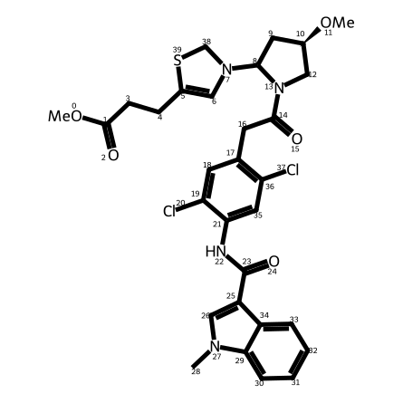 COC(=O)CCC1=CN(C2C[C@@H](OC)CN2C(=O)Cc2cc(Cl)c(NC(=O)c3cn(C)c4ccccc34)cc2Cl)CS1